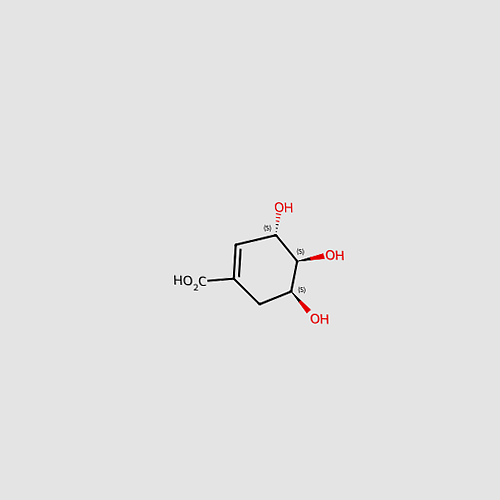 O=C(O)C1=C[C@H](O)[C@@H](O)[C@@H](O)C1